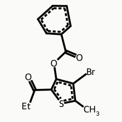 CCC(=O)c1sc(C)c(Br)c1OC(=O)c1ccccc1